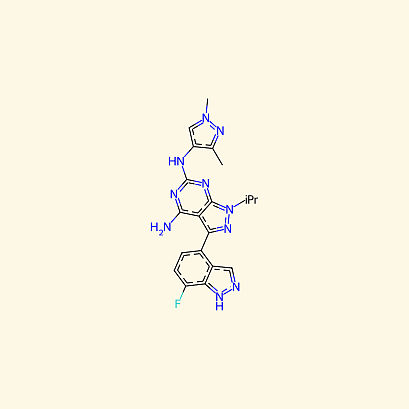 Cc1nn(C)cc1Nc1nc(N)c2c(-c3ccc(F)c4[nH]ncc34)nn(C(C)C)c2n1